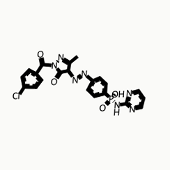 CC1=NN(C(=O)c2ccc(Cl)cc2)C(=O)C1/N=N/c1ccc(P(=O)(O)Nc2ncccn2)cc1